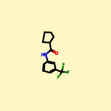 O=C(Nc1cccc(C(F)(F)F)c1)C1CCCC1